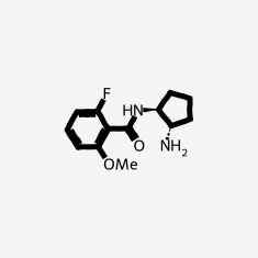 COc1cccc(F)c1C(=O)N[C@H]1CCC[C@@H]1N